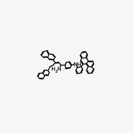 NC(/C=C(\CCC1C=c2ccccc2=CC1)c1ccc2ccccc2c1)C1C=CC(NC2C=CC=CC2c2cc3ccccc3c3ccc4ccccc4c23)=CC1